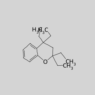 CCC1(CC)CC(CC)(CC)c2ccccc2O1